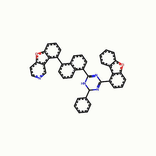 c1ccc(C2N=C(c3cccc4oc5ccccc5c34)N=C(c3cccc4c(-c5cccc6oc7ccncc7c56)cccc34)N2)cc1